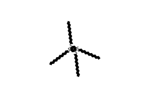 CCCCCCCCCCCCCSc1cc(SCCCCCCCCCCCCC)c(SCCCCCCCCCCCCC)cc1SCCCCCCCCCCCCC